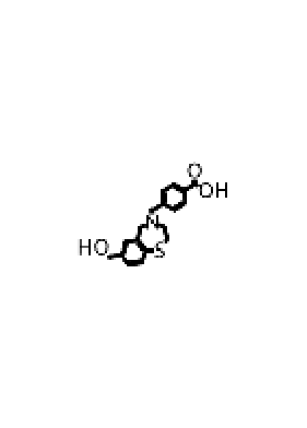 O=C(O)c1ccc(CN2CCSc3ccc(CO)cc3C2)cc1